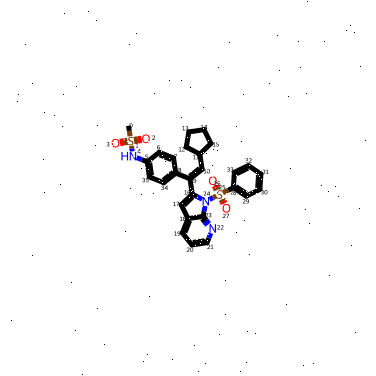 CS(=O)(=O)Nc1ccc(/C(=C\C2CCCC2)c2cc3cccnc3n2S(=O)(=O)c2ccccc2)cc1